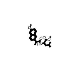 COC(=O)C(CC(C)C)NC(=O)C(C)c1ccc2cc(OC)ccc2c1